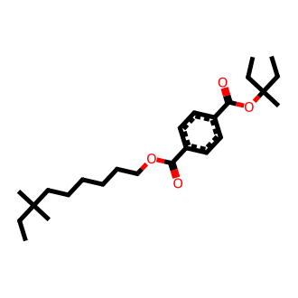 CCC(C)(C)CCCCCCOC(=O)c1ccc(C(=O)OC(C)(CC)CC)cc1